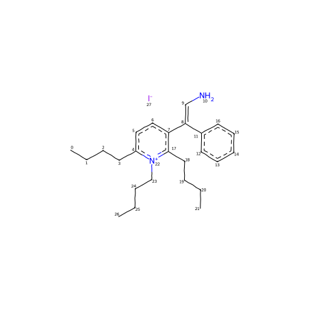 CCCCc1ccc(C(=CN)c2ccccc2)c(CCCC)[n+]1CCCC.[I-]